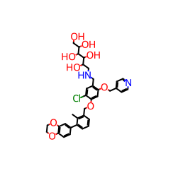 Cc1c(COc2cc(OCc3ccncc3)c(CNCC(O)C(O)C(O)C(O)CO)cc2Cl)cccc1-c1ccc2c(c1)OCCO2